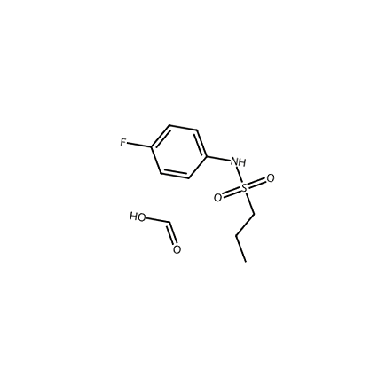 CCCS(=O)(=O)Nc1ccc(F)cc1.O=CO